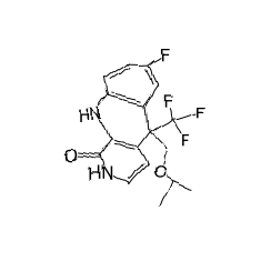 CC(C)OCC1(C(F)(F)F)c2cc(F)ccc2Nc2c1cc[nH]c2=O